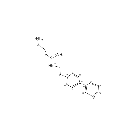 NCCCC(N)NCCc1ccc(-c2ccccc2)cc1